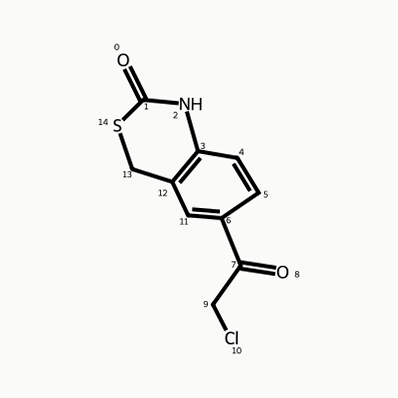 O=C1Nc2ccc(C(=O)CCl)cc2CS1